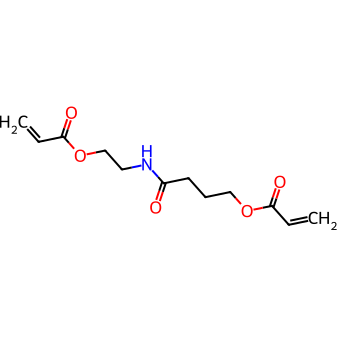 C=CC(=O)OCCCC(=O)NCCOC(=O)C=C